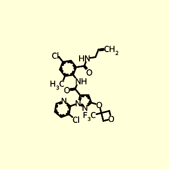 C=CCNC(=O)c1cc(Cl)cc(C)c1NC(=O)c1cc(OC2(C(F)(F)F)COC2)nn1-c1ncccc1Cl